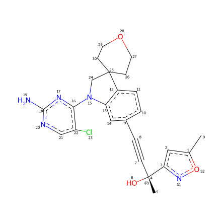 Cc1cc([C@](C)(O)C#Cc2ccc3c(c2)N(c2nc(N)ncc2Cl)CC32CCOCC2)no1